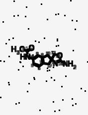 CC(=O)Nc1ccc2c(c1)CC1(COC(N)=N1)C2